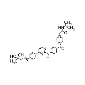 CC(C)NC(=O)CN1CCN(C(=O)c2ccc(Nc3nccc(-c4ccc(SCCC(C)(C)O)cc4)n3)cc2)CC1